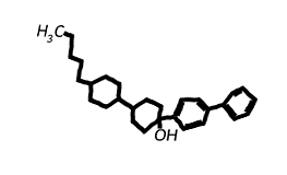 CCCCCC1CCC(C2CCC(O)(c3ccc(-c4ccccc4)cc3)CC2)CC1